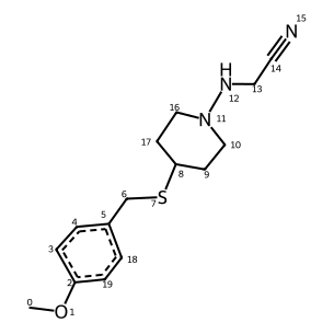 COc1ccc(CSC2CCN(NCC#N)CC2)cc1